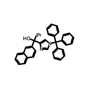 CC(C)C(O)(c1ccc2c[c]ccc2c1)c1cn(C(c2ccccc2)(c2ccccc2)c2ccccc2)cn1